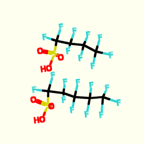 O=S(=O)(O)C(F)(F)C(F)(F)C(F)(F)C(F)(F)C(F)(F)F.O=S(=O)(O)C(F)(F)C(F)(F)C(F)(F)C(F)(F)F